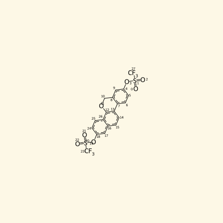 O=S(=O)(Oc1ccc2c(c1)COc1c-2ccc2cc(OS(=O)(=O)C(F)(F)F)ccc12)C(F)(F)F